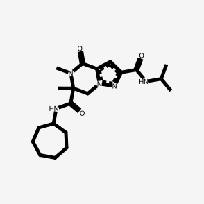 CC(C)NC(=O)c1cc2n(n1)CC(C)(C(=O)NC1CCCCCC1)N(C)C2=O